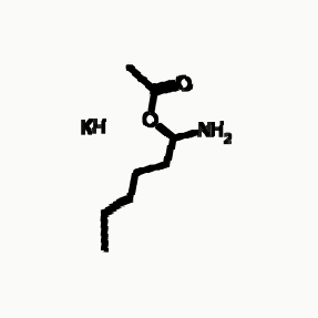 CCCCCC(N)OC(C)=O.[KH]